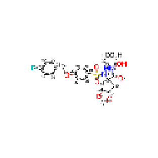 O=C(O)CCN(C1(C(=O)NO)CC2OCOC2C1)S(=O)(=O)c1ccc(OCc2ccc(F)cc2)cc1